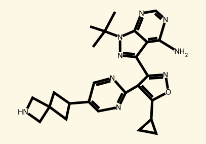 CC(C)(C)n1nc(-c2noc(C3CC3)c2-c2ncc(C3CC4(CNC4)C3)cn2)c2c(N)ncnc21